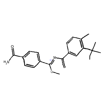 C=C(/N=C(\OC)c1ccc(C(N)=O)cc1)c1ccc(C)c(C(C)(C)C)c1